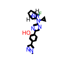 Cn1cc(-c2ccc(-c3cnc(N(C4CC4)[C@H]4C[C@@H]5CC[C@@H](N5)[C@H]4F)cn3)c(O)c2)cn1